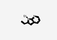 C=Cc1cc2cccnc2n1CC